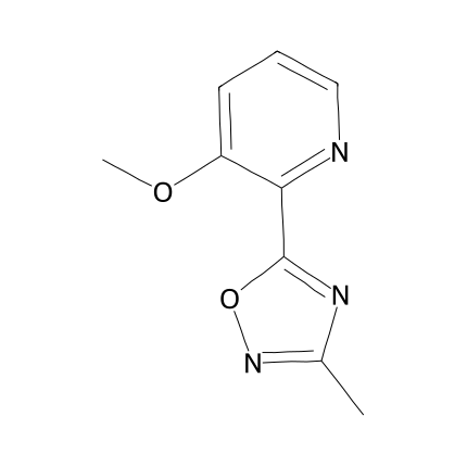 COc1cccnc1-c1nc(C)no1